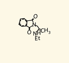 CCN[C@@H](C)CN1C(=O)c2ccccc2C1=O